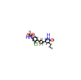 CCCc1cc(-c2csc(-c3ccc(NS(C)(=O)=O)cc3Cl)c2)c[nH]c1=O